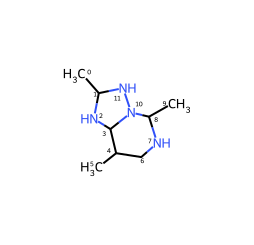 CC1NC2C(C)CNC(C)N2N1